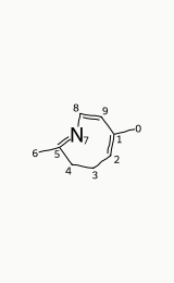 CC1=C/CC/C(C)=N/C=C\1